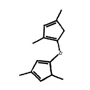 CC1=CC(C)[C]([Zr][C]2=C(C)C=C(C)C2)=C1